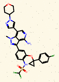 Cn1nc(-c2ccc(NS(=O)(=O)C(F)F)c(OC3(c4ccc(F)cc4)CC3)c2)c2c(N)ncc(-c3cnn(C4CCOCC4)c3)c21